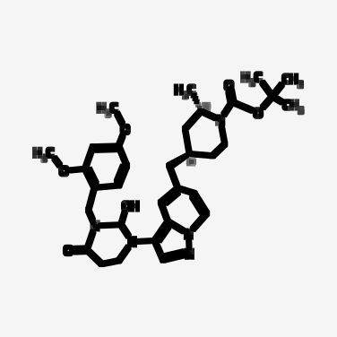 COc1ccc(CN2C(=O)CCN(c3cnn4ccc(C[C@@H]5CCN(C(=O)OC(C)(C)C)[C@@H](C)C5)cc34)C2O)c(OC)c1